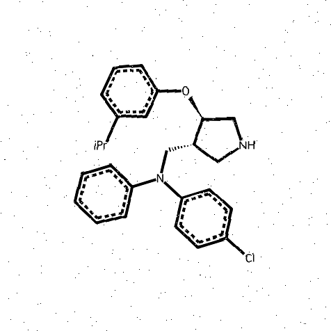 CC(C)c1cccc(O[C@H]2CNC[C@@H]2CN(c2ccccc2)c2ccc(Cl)cc2)c1